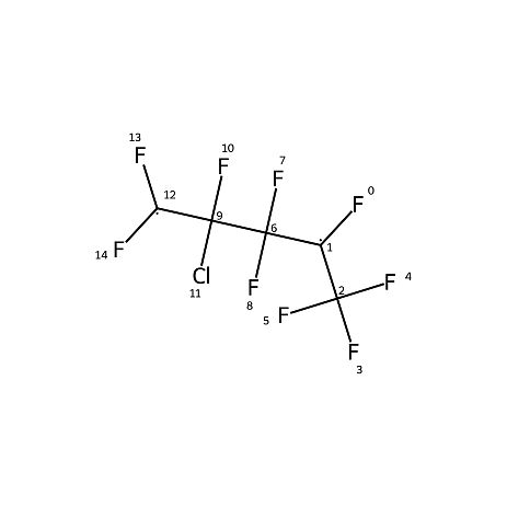 F[C](C(F)(F)F)C(F)(F)C(F)(Cl)[C](F)F